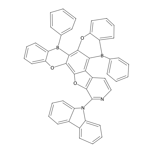 c1ccc(B2c3ccccc3Oc3c2c2c(c4c3oc3c(-n5c6ccccc6c6ccccc65)nccc34)B(c3ccccc3)c3ccccc3O2)cc1